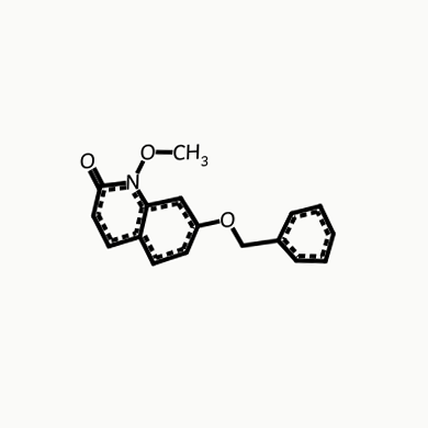 COn1c(=O)ccc2ccc(OCc3ccccc3)cc21